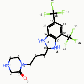 O=C1CNCCN1CCCC1Nc2cc(C(F)(F)F)cc(C(F)(F)F)c2N1